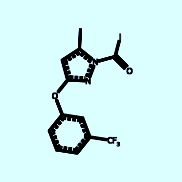 Cc1cc(Oc2cccc(C(F)(F)F)c2)nn1C(=O)I